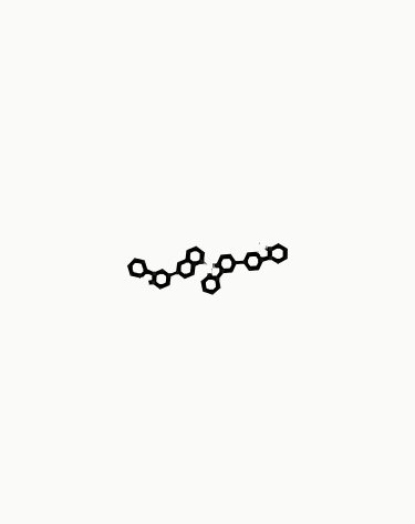 c1cc(-n2c3ccccc3c3cc(-c4ccc5c(c4)[nH]c4ccccc45)ccc32)c2ccc(-c3ccc4sc5ccccc5c4c3)cc2c1